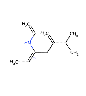 C=CN/C(=C\C)CC(=C)C(C)C